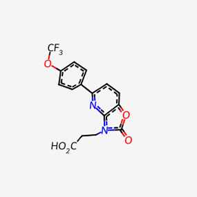 O=C(O)CCn1c(=O)oc2ccc(-c3ccc(OC(F)(F)F)cc3)nc21